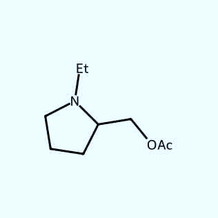 [CH2]CN1CCCC1COC(C)=O